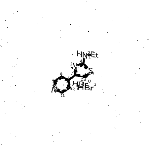 Br.Br.CCNc1nc(-c2ccncc2)cs1